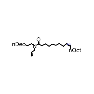 C=CCN(CCCCCCCCCCCC)C(=O)CCCCCCC/C=C\CCCCCCCC